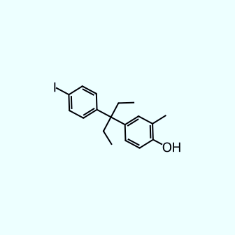 CCC(CC)(c1ccc(I)cc1)c1ccc(O)c(C)c1